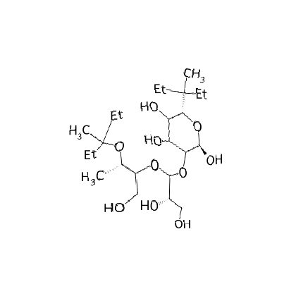 CCC(C)(CC)O[C@@H](C)C(CO)OC(OC1C(O)C(O)[C@H](C(C)(CC)CC)O[C@H]1O)[C@@H](O)CO